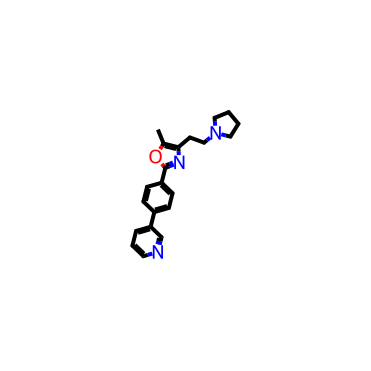 Cc1oc(-c2ccc(-c3cccnc3)cc2)nc1CCN1CCCC1